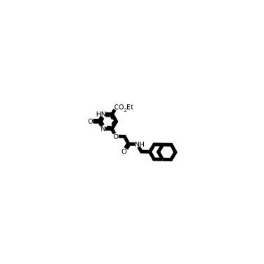 CCOC(=O)c1cc(OCC(=O)NCC2CC3CCCC(C3)C2)nc(=O)[nH]1